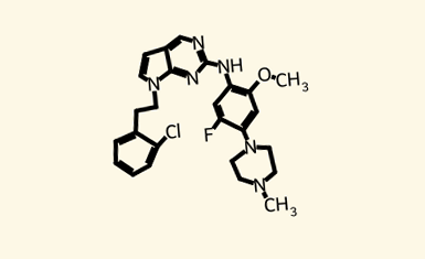 COc1cc(N2CCN(C)CC2)c(F)cc1Nc1ncc2ccn(CCc3ccccc3Cl)c2n1